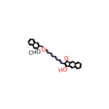 O=Cc1cc2ccccc2cc1CO/C=C/C=C/C=C/C=C/C1=C(O)c2cc3ccccc3cc2C1=O